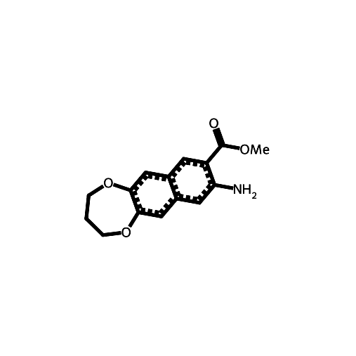 COC(=O)c1cc2cc3c(cc2cc1N)OCCCO3